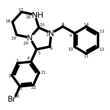 Brc1ccc(C2CN(Cc3ccccc3)C3NCCCN23)cc1